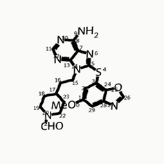 COc1cc(Sc2nc3c(N)ncnc3n2CCC2CCN(C=O)CC2)c2ocnc2c1